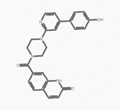 O=C(c1ccc2ccc(=O)[nH]c2c1)N1CCN(c2cc(-c3ccc(O)cc3)ccn2)CC1